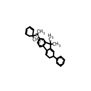 CN(c1ccc2c(c1)C(C)(C)C1=CC(c3ccccc3)CC=C12)C1(C)C=CC=CC1